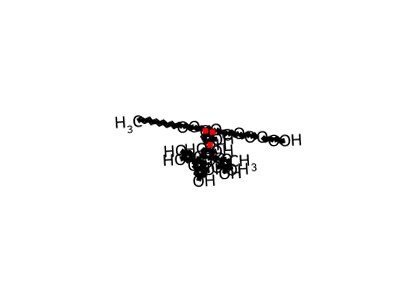 CC1OC(OCC2OC(Oc3c(-c4ccc(O)c(O)c4)oc4cc(O)cc(O)c4c3=O)C(O)C(O)C2O)C(O)C(O)C1O.CCCCCCCCCCCCOCCOCCOCCOCCOCCOCCOCCOCCOCCO.Oc1ccccc1